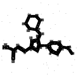 CSc1ccc(-c2cc(/C=C/C(=O)O)nn2CC2CCCCC2)cc1